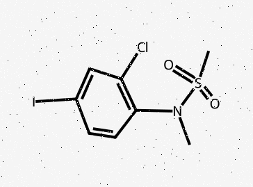 CN(c1ccc(I)cc1Cl)S(C)(=O)=O